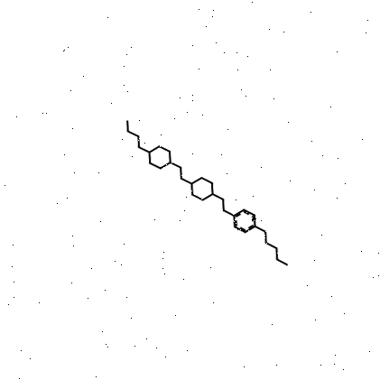 CCCCCc1ccc(CCC2CCC(CCC3CCC(CCCC)CC3)CC2)cc1